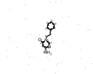 Nc1cc(=O)n(CCc2ccccc2)cn1